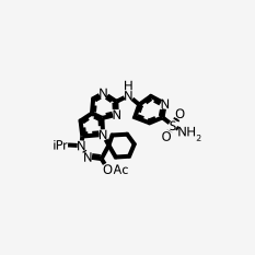 CC(=O)OC1=NN(C(C)C)c2cc3cnc(Nc4ccc(S(N)(=O)=O)nc4)nc3n2C12CCCCC2